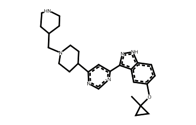 CC1(Oc2ccc3[nH]nc(-c4cc(C5CCN(CC6CCNCC6)CC5)ncn4)c3c2)CC1